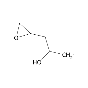 [CH2]C(O)CC1CO1